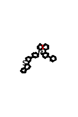 c1ccc(-c2ccc(N(c3ccccc3)c3ccc(-c4ccc5sc6c7ccccc7ccc6c5c4)cc3)c(-c3ccccc3)c2)cc1